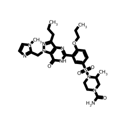 CCCOc1ccc(S(=O)(=O)N2CCN(C(N)=O)CC2C)cc1-c1nc2c(CCC)nn(Cc3nccn3C)c2c(=O)[nH]1